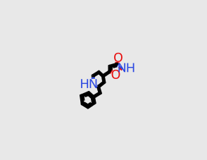 O=c1cc(C2CCNC(Cc3ccccc3)C2)o[nH]1